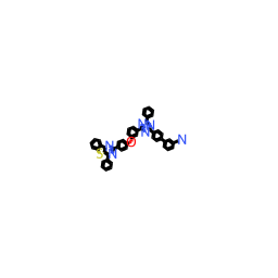 N#Cc1cccc(-c2ccc(-c3nc(-c4ccccc4)nc(-c4cccc(Oc5ccc(-c6nc(-c7ccccc7)c7sc8ccccc8c7n6)cc5)c4)n3)cc2)c1